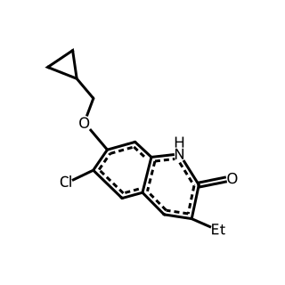 CCc1cc2cc(Cl)c(OCC3CC3)cc2[nH]c1=O